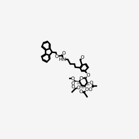 COC(=O)[C@H]1O[C@@H](Oc2ccc(C=O)c(CCCCNC(=O)OCC3c4ccccc4-c4ccccc43)c2)[C@H](OC(C)=O)[C@@H](OC(C)=O)[C@@H]1OC(C)=O